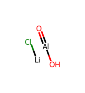 [Li][Cl].[O]=[Al][OH]